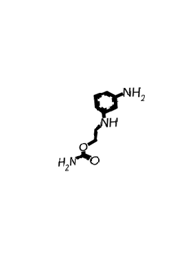 NC(=O)OCCNc1cccc(N)c1